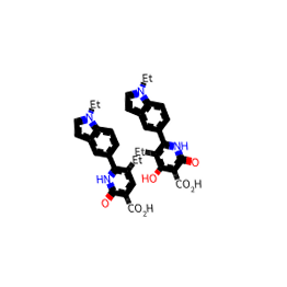 CCc1c(-c2ccc3c(ccn3CC)c2)[nH]c(=O)c(C(=O)O)c1O.CCc1cc(C(=O)O)c(=O)[nH]c1-c1ccc2c(ccn2CC)c1